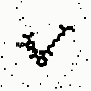 Cc1nc(NC(=O)c2ccccc2NC(=O)CCCCCOC(N)=O)sc1[N+](=O)[O-]